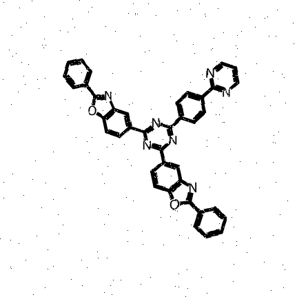 c1ccc(-c2nc3cc(-c4nc(-c5ccc(-c6ncccn6)cc5)nc(-c5ccc6oc(-c7ccccc7)nc6c5)n4)ccc3o2)cc1